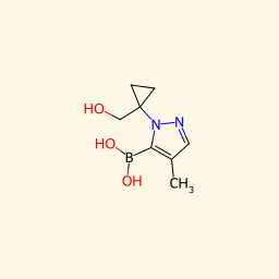 Cc1cnn(C2(CO)CC2)c1B(O)O